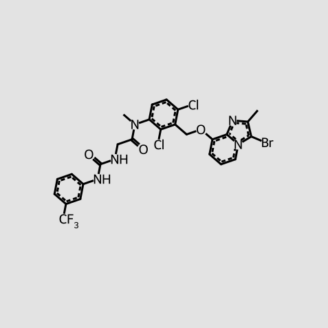 Cc1nc2c(OCc3c(Cl)ccc(N(C)C(=O)CNC(=O)Nc4cccc(C(F)(F)F)c4)c3Cl)cccn2c1Br